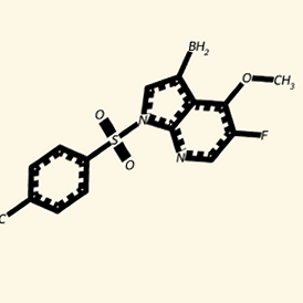 Bc1cn(S(=O)(=O)c2ccc(C)cc2)c2ncc(F)c(OC)c12